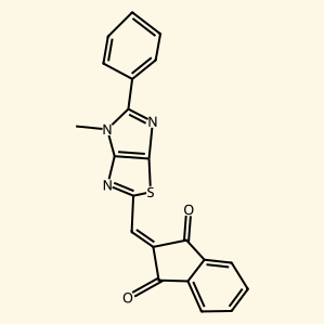 Cn1c(-c2ccccc2)nc2sc(C=C3C(=O)c4ccccc4C3=O)nc21